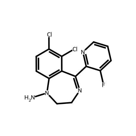 NN1CCN=C(c2ncccc2F)c2c1ccc(Cl)c2Cl